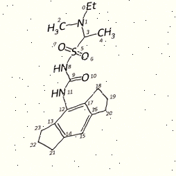 CCN(C)C(C)S(=O)(=O)NC(=O)Nc1c2c(cc3c1CCC3)CCC2